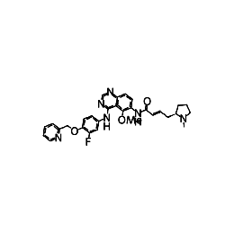 COc1c(NC(=O)/C=C/C[C@H]2CCCN2C)ccc2ncnc(Nc3ccc(OCc4ccccn4)c(F)c3)c12